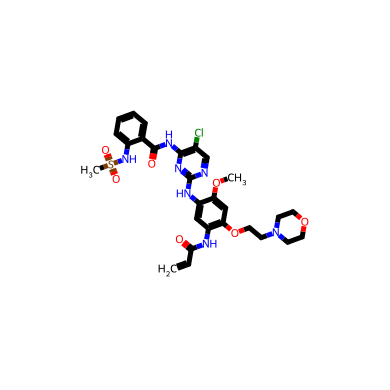 C=CC(=O)Nc1cc(Nc2ncc(Cl)c(NC(=O)c3ccccc3NS(C)(=O)=O)n2)c(OC)cc1OCCN1CCOCC1